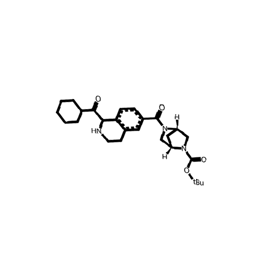 CC(C)(C)OC(=O)N1C[C@@H]2C[C@H]1CN2C(=O)c1ccc2c(c1)CCNC2C(=O)C1CCCCC1